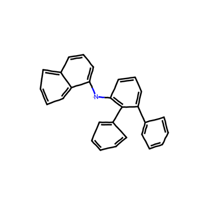 c1ccc(-c2cccc([N]c3cccc4ccccc34)c2-c2ccccc2)cc1